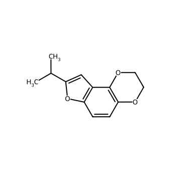 CC(C)c1cc2c3c(ccc2o1)OCCO3